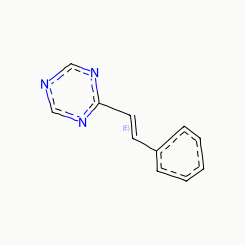 C(=C\c1ncncn1)/c1ccccc1